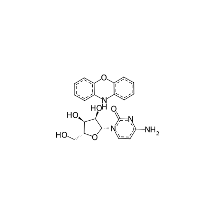 Nc1ccn([C@@H]2O[C@H](CO)[C@@H](O)[C@H]2O)c(=O)n1.c1ccc2c(c1)Nc1ccccc1O2